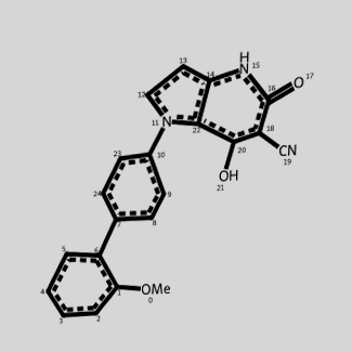 COc1ccccc1-c1ccc(-n2ccc3[nH]c(=O)c(C#N)c(O)c32)cc1